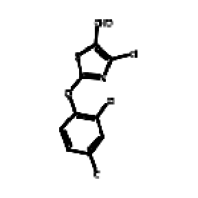 O=Cc1sc(Oc2ccc(Cl)cc2Cl)nc1Cl